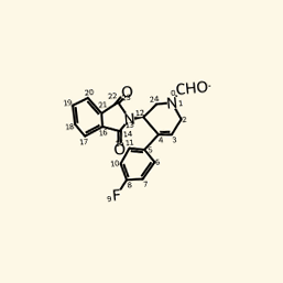 O=[C]N1CC=C(c2ccc(F)cc2)[C@@H](N2C(=O)c3ccccc3C2=O)C1